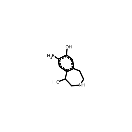 Bc1cc2c(cc1O)CCNCC2C